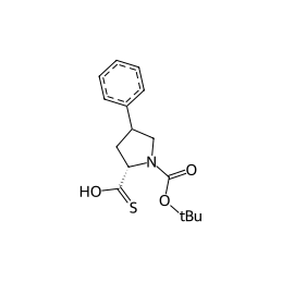 CC(C)(C)OC(=O)N1CC(c2ccccc2)C[C@H]1C(O)=S